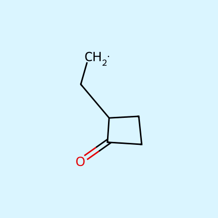 [CH2]CC1CCC1=O